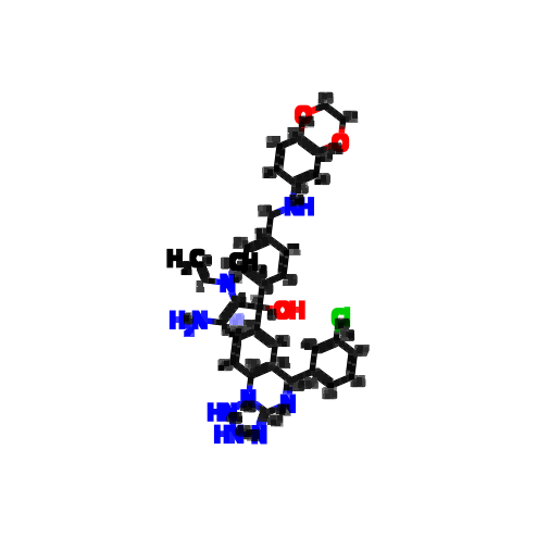 C=CN(C)/C(=C\N)C(O)(c1ccc(CNc2ccc3c(c2)OCCO3)cc1)c1ccc2c(c1)C(c1cccc(Cl)c1)=NC1=NNNN12